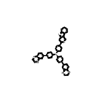 c1ccc2c(c1)oc1cc(-c3ccc(N(c4ccc(-c5ccc6nccnc6c5)cc4)c4ccc(-c5ccc6nccnc6c5)cc4)cc3)ncc12